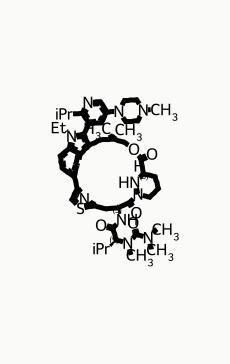 CCn1c(-c2cc(N3CCN(C)CC3)cnc2C(C)C)c2c3cc(ccc31)-c1csc(n1)C[C@H](NC(=O)[C@H](C(C)C)N(C)C(=O)N(C)C)C(=O)N1CCC[C@H](N1)C(=O)OCC(C)(C)C2